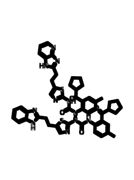 Cc1ccc(NC(=O)N(c2ncc(CCc3nc4ccccc4[nH]3)s2)N(C(=O)Nc2ncc(CCc3nc4ncccc4[nH]3)s2)c2ccc(C)cc2C(=O)C2CCCC2)c(C(=O)C2CCCC2)c1